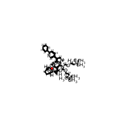 CC(C)(C)OC(=O)N1[C@@H]2CC[C@H]1C[C@@H](c1nc3c(-c4ccc(-c5ccccc5)nc4)cnn3c(N(COCC[Si](C)(C)C)COCC[Si](C)(C)C)c1C1(O)CC1)C2